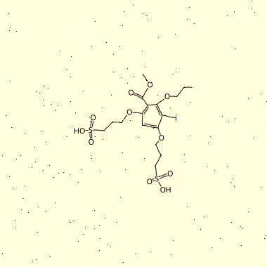 CCCOc1c(I)c(OCCCS(=O)(=O)O)cc(OCCCS(=O)(=O)O)c1C(=O)OC